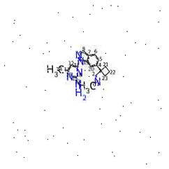 CN=CC1(c2ccc3cnn(-c4cc(C)nc(N)n4)c3c2)CCC1